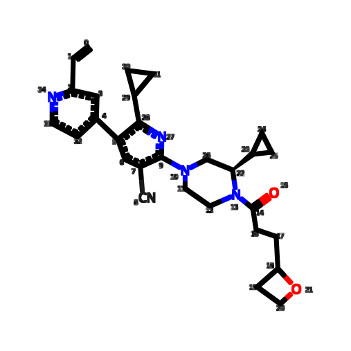 C=Cc1cc(-c2cc(C#N)c(N3CCN(C(=O)CCC4CCO4)[C@H](C4CC4)C3)nc2C2CC2)ccn1